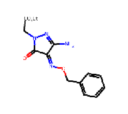 CCOC(=O)CN1N=C(N)/C(=N\OCc2ccccc2)C1=O